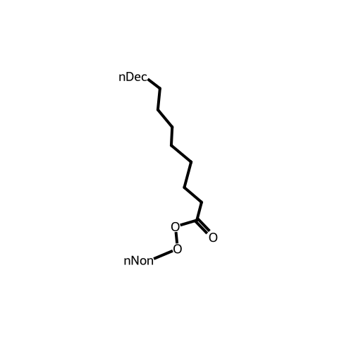 CCCCCCCCCCCCCCCCCC(=O)OOCCCCCCCCC